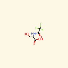 O=C(O)[C@H](CO)NC(=O)C(F)(F)F